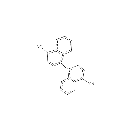 N#Cc1ccc(-c2ccc(C#N)c3ccccc23)c2ccccc12